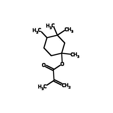 C=C(C)C(=O)OC1(C)CCC(C)C(C)(C)C1